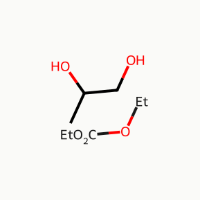 CC(O)CO.CCOC(=O)OCC